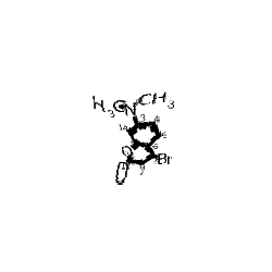 CN(C)c1ccc2c(Br)cc(=O)oc2c1